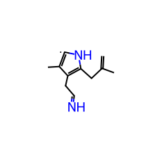 C=C(C)Cc1[nH][c]c(C)c1CC=N